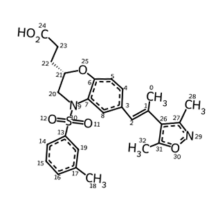 C/C(=C\c1ccc2c(c1)N(S(=O)(=O)c1cccc(C)c1)C[C@H](CCC(=O)O)O2)c1c(C)noc1C